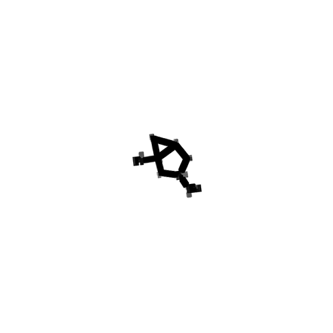 CC(C)C12CC1CN(C(C)(C)C)C2